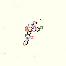 CC(C)(C)OC(=O)N[C@H]1CS(=O)(=O)c2cc(F)c(C(=O)NCC3CCOCC3)cc2N(Cc2ccc(Cl)cc2)C1=O